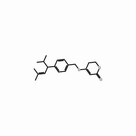 CC(C)=CC(c1ccc(COC2=CC(=O)OCC2)cc1)C(C)C